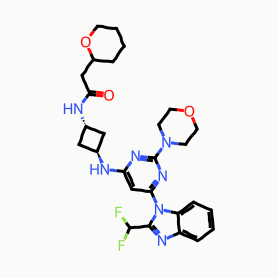 O=C(CC1CCCCO1)N[C@H]1C[C@H](Nc2cc(-n3c(C(F)F)nc4ccccc43)nc(N3CCOCC3)n2)C1